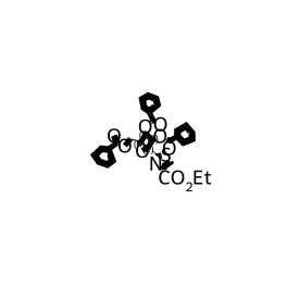 CCOC(=O)c1csc([C@@H]2O[C@H](COC(=O)c3ccccc3)[C@@H](OC(=O)c3ccccc3)[C@H]2OC(=O)c2ccccc2)n1